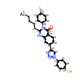 CC(=O)CCCCc1nc2cc(-c3cn(-c4ccc(F)cc4)nn3)ccc2c(=O)n1-c1ccc(F)cc1